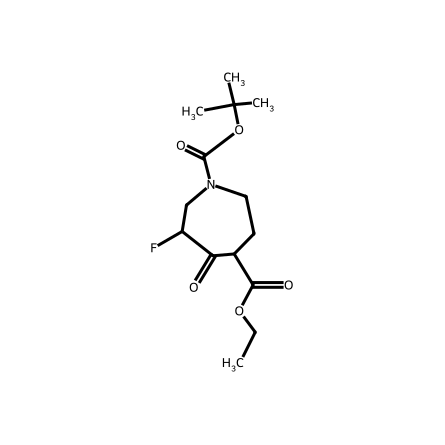 CCOC(=O)C1CCN(C(=O)OC(C)(C)C)CC(F)C1=O